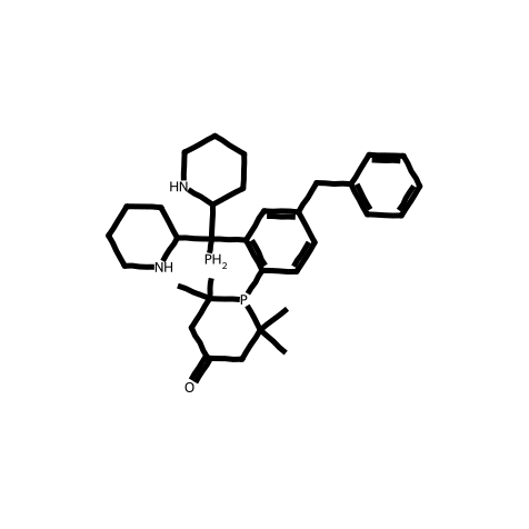 CC1(C)CC(=O)CC(C)(C)P1c1ccc(Cc2ccccc2)cc1C(P)(C1CCCCN1)C1CCCCN1